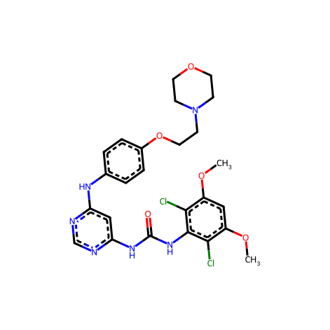 COc1cc(OC)c(Cl)c(NC(=O)Nc2cc(Nc3ccc(OCCN4CCOCC4)cc3)ncn2)c1Cl